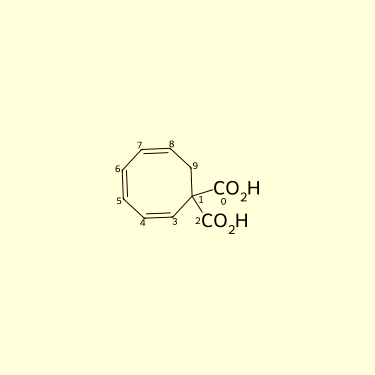 O=C(O)C1(C(=O)O)C=CC=CC=CC1